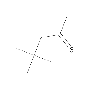 CC(=S)CC(C)(C)C